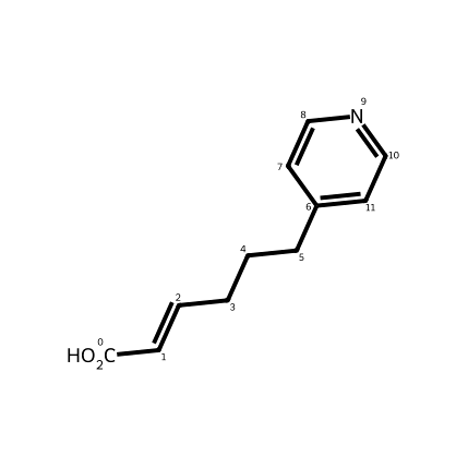 O=C(O)C=CCCCc1ccncc1